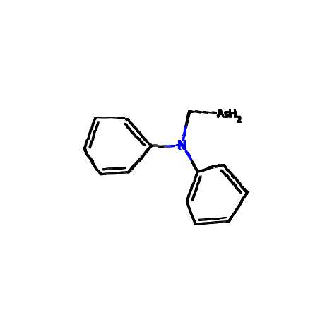 [AsH2]CN(c1ccccc1)c1ccccc1